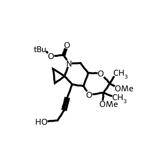 COC1(C)OC2CN(C(=O)OC(C)(C)C)C3(CC3)C(C#CCO)C2OC1(C)OC